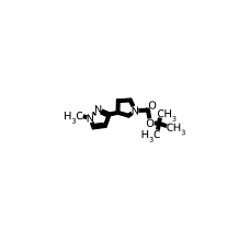 Cn1ccc(C2CCN(C(=O)OC(C)(C)C)C2)n1